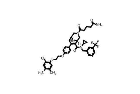 Cc1cc(Cl)c(OCCOc2ccc(C3=C(C(=O)N(Cc4cccc(C(F)(F)F)c4)C4CC4)[C@H]4CN(C(=O)CCCC(N)=O)CC(C3)N4)cc2)cc1C